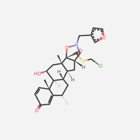 C[C@]12C=CC(=O)C=C1[C@@H](F)C[C@H]1[C@@H]3C[C@H]4CN(Cc5ccoc5)O[C@@]4(C(=O)SCCl)[C@@]3(C)C[C@H](O)[C@@]12F